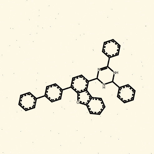 c1ccc(C2=NC(c3ccc(-c4ccc(-c5ccccc5)cc4)c4oc5ccccc5c34)NC(c3ccccc3)N2)cc1